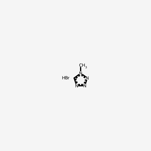 Br.Cn1cnnn1